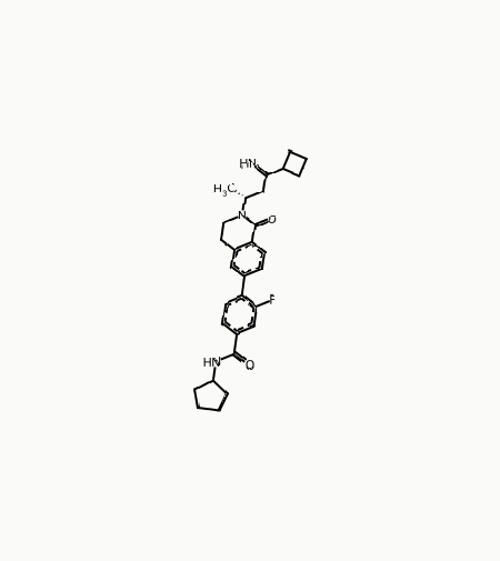 C[C@H](CC(=N)C1CCC1)N1CCc2cc(-c3ccc(C(=O)NC4CCCC4)cc3F)ccc2C1=O